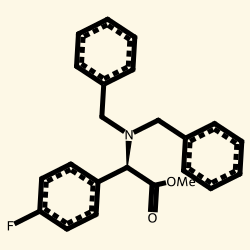 COC(=O)[C@@H](c1ccc(F)cc1)N(Cc1ccccc1)Cc1ccccc1